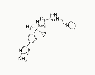 C[C@](c1ccc(-c2cnc(N)nc2)cc1)(c1noc(-c2cnn(CCN3CCCC3)c2)n1)C1CC1